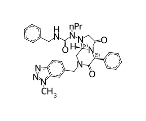 CCCN(C(=O)NCc1ccccc1)N1CC(=O)N2[C@@H](c3ccccc3)C(=O)N(Cc3ccc4nnn(C)c4c3)C[C@@H]21